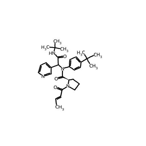 C/C=C/C(=O)N1CCC[C@@H]1C(=O)N(c1ccc(C(C)(C)C)cc1)C(C(=O)NC(C)(C)C)c1cccnc1